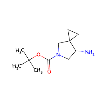 CC(C)(C)OC(=O)N1C[C@@H](N)C2(CC2)C1